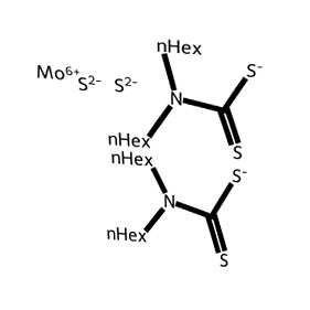 CCCCCCN(CCCCCC)C(=S)[S-].CCCCCCN(CCCCCC)C(=S)[S-].[Mo+6].[S-2].[S-2]